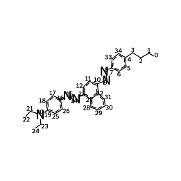 CCCCc1ccc(N=Nc2ccc(N=Nc3ccc(N(CC)CC)cc3)c3ccccc23)cc1